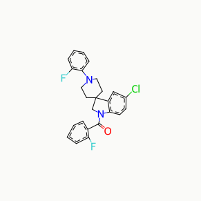 O=C(c1ccccc1F)N1CC2(CCN(c3ccccc3F)CC2)c2cc(Cl)ccc21